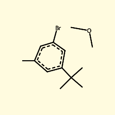 COC.Cc1cc(Br)cc(C(C)(C)C)c1